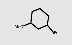 COC1CCCC(C(C)C)C1